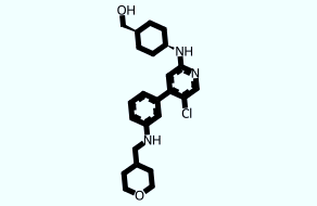 OC[C@H]1CC[C@H](Nc2cc(-c3cccc(NCC4CCOCC4)c3)c(Cl)cn2)CC1